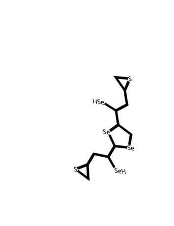 [SeH]C(CC1CS1)C1C[Se]C(C([SeH])CC2CS2)[Se]1